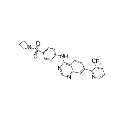 O=S(=O)(c1ccc(Nc2ncnc3cc(-c4ncccc4C(F)(F)F)ccc23)cc1)N1CCC1